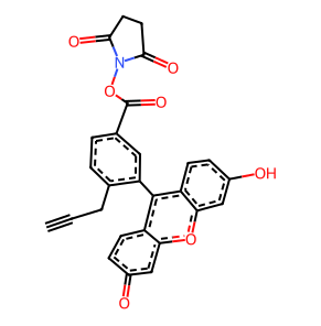 C#CCc1ccc(C(=O)ON2C(=O)CCC2=O)cc1-c1c2ccc(=O)cc-2oc2cc(O)ccc12